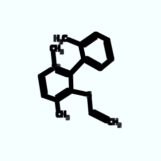 C=CSc1c(C)cc[n+](C)c1-c1ccccc1C